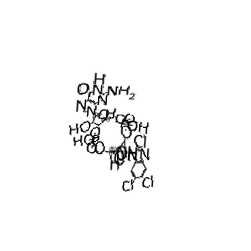 Nc1nc2c(ncn2[C@@H]2O[C@@H]3COP(=O)(O)OC4C(O)[C@@H](COP(=O)(O)OC3C2O)O[C@H]4n2c(Cl)nc3cc(Cl)c(Cl)cc32)c(=O)[nH]1